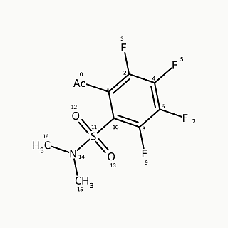 CC(=O)c1c(F)c(F)c(F)c(F)c1S(=O)(=O)N(C)C